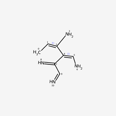 C/C=C(N)\C(=C\N)C(=N)C=N